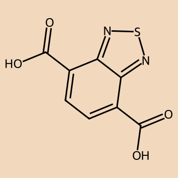 O=C(O)c1ccc(C(=O)O)c2nsnc12